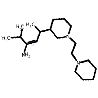 CC(C)/C(N)=C\C(C)C1CCCN(CCN2CCCCC2)C1